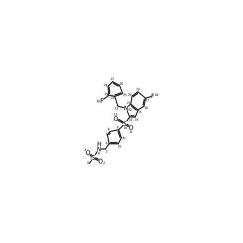 CS(=O)(=O)NCc1ccc(S(=O)(=O)c2cc3cc(F)ccc3n2Cc2ccccc2F)cc1